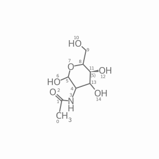 CC(=O)NC1C(O)OC(CO)[C@@H](O)C1O